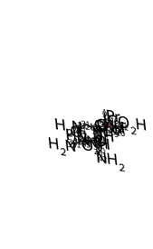 CC(C)C[C@H](NC(=O)[C@H](Cc1ccc(F)cc1)NC(=O)[C@@H]1C/C=C/C[C@H](N)C(=O)N[C@@H](CCCCN)C(=O)N[C@@H](CCCCN)C(=O)N1)C(=O)O